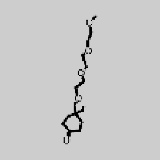 COCCOCCOCCOCC1(F)CCC(=O)CC1